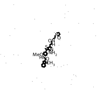 COc1cc(-c2csc3c(/C=C/C(=O)NCCCN4CCCC4=O)cnc(N)c23)ccc1NC(=O)c1cc2ccccc2n1C